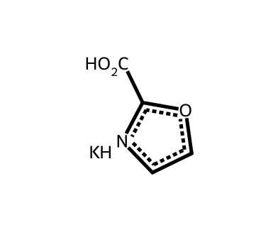 O=C(O)c1ncco1.[KH]